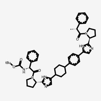 C[C@@H](C(=O)N1CCC[C@H]1c1ncc(-c2ccc(C3CCC(c4cnc([C@@H]5CCCN5C(=O)[C@H](NC(=O)OC(C)(C)C)c5ccccc5)[nH]4)CC3)cc2)[nH]1)c1ccccc1